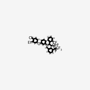 CCc1cc(Oc2cccc(N(Cc3cccc(C(F)(F)C(F)(F)F)c3)C(CO)c3ccccc3C(F)(F)F)c2)ccc1Cl